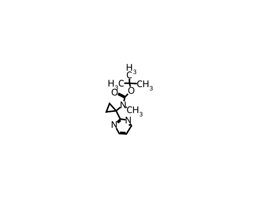 CN(C(=O)OC(C)(C)C)C1(c2ncccn2)CC1